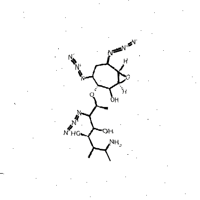 CC(N)C(C)[C@@H](O)C(O)C(N=[N+]=[N-])[C@H](C)O[C@@H]1C(N=[N+]=[N-])CC(N=[N+]=[N-])[C@@H]2O[C@H]2C1O